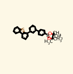 CC1(C)OB(c2ccc(-c3cccc(-c4cccc5c4sc4ccccc45)c3)cc2)OC1(C)C